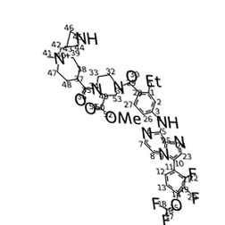 CCc1cc(Nc2nccn3c(-c4ccc(OC(F)F)c(F)c4F)cnc23)ccc1C(=O)N1CCN(C(=O)C2CC[N+](C)(CC3CNC3)CC2)C(C(=O)OC)C1